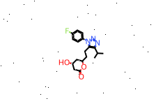 CC(C)c1nnn(-c2ccc(F)cc2)c1CCC1CC(O)CC(=O)O1